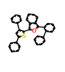 c1ccc(-c2cc(-c3ccccc3)c(-c3oc(-c4ccccc4-c4ccccc4)c4ccccc34)s2)cc1